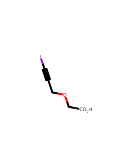 O=C(O)COCC#CI